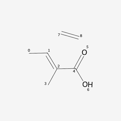 C/C=C(\C)C(=O)O.C=C